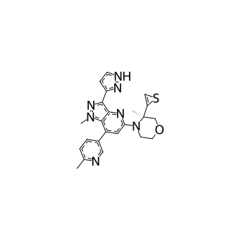 Cc1ccc(-c2cc(N3CCOC[C@]3(C)C3=CS3)nc3c(-c4cc[nH]n4)nn(C)c23)cn1